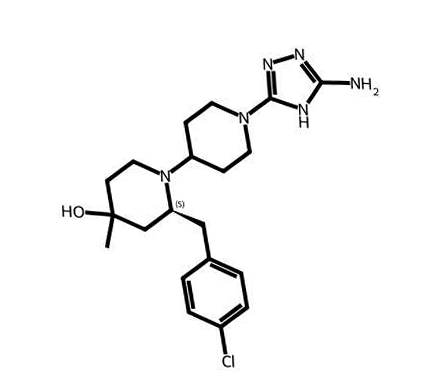 CC1(O)CCN(C2CCN(c3nnc(N)[nH]3)CC2)[C@@H](Cc2ccc(Cl)cc2)C1